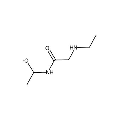 CCNCC(=O)NC(C)[O]